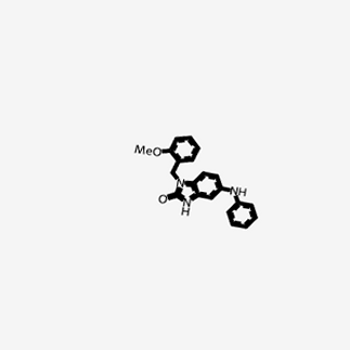 COc1ccccc1Cn1c(=O)[nH]c2cc(Nc3ccccc3)ccc21